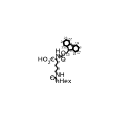 CCCCCCC(=O)NCCCCC(NC(=O)OCC1c2ccccc2-c2ccccc21)C(=O)O